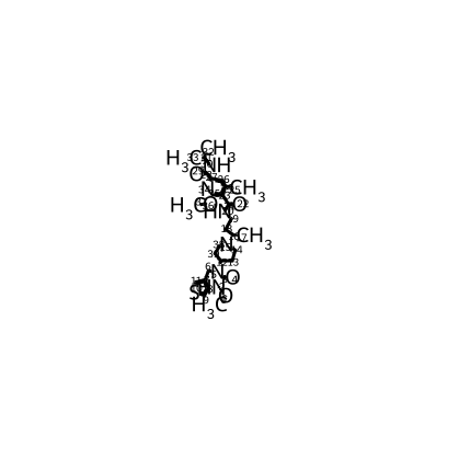 CONC(=O)N(Cc1ccsc1)C1CCN([C@H](C)CCNC(=O)c2c(C)cc(C(=O)NC(C)C)nc2OC)CC1